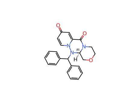 O=C1c2cc(=O)ccn2N(C(c2ccccc2)c2ccccc2)[C@@H]2COCCN12